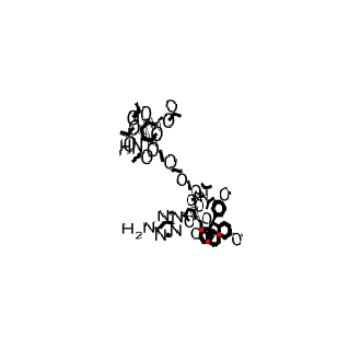 COc1ccc(C(OC(C(=O)c2ccccc2)[C@H]2O[C@@H](n3cnc4c(N)ncnc43)C[C@@H]2OP(=O)(OCCOCCOCCO[C@@H]2O[C@H](COC(C)=O)[C@H](OC(C)=O)[C@H](OC(C)=O)[C@H]2NC(C)=O)N(C(C)C)C(C)C)(c2ccccc2)c2ccc(OC)cc2)cc1